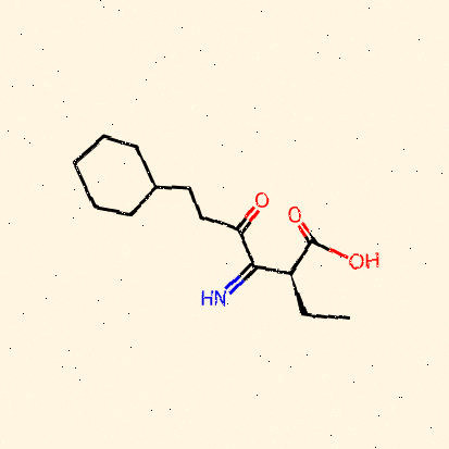 CC[C@@H](C(=N)C(=O)CCC1CCCCC1)C(=O)O